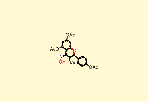 CC(=O)Oc1ccc(-c2oc3cc(OC(C)=O)cc(OC(C)=O)c3c(=NO)c2OC(C)=O)cc1